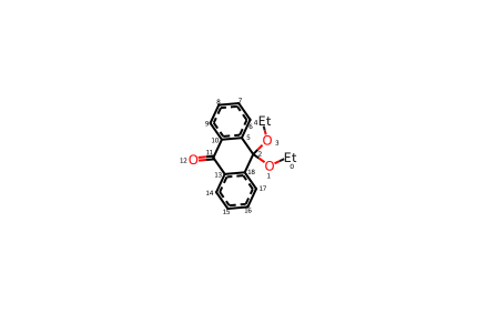 CCOC1(OCC)c2ccccc2C(=O)c2ccccc21